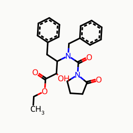 CCOC(=O)C(O)C(Cc1ccccc1)N(Cc1ccccc1)C(=O)N1CCCC1=O